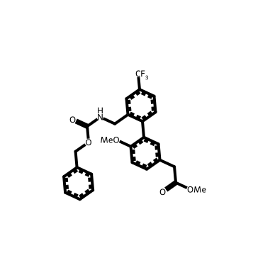 COC(=O)Cc1ccc(OC)c(-c2ccc(C(F)(F)F)cc2CNC(=O)OCc2ccccc2)c1